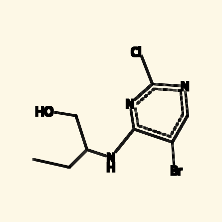 CCC(CO)Nc1nc(Cl)ncc1Br